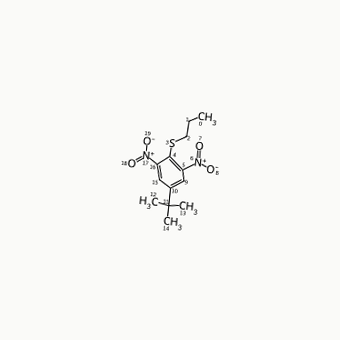 CCCSc1c([N+](=O)[O-])cc(C(C)(C)C)cc1[N+](=O)[O-]